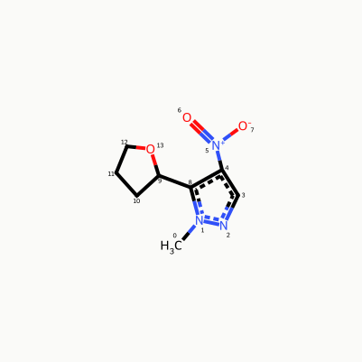 Cn1ncc([N+](=O)[O-])c1C1CCCO1